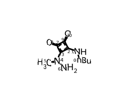 CCCCNc1c(N(C)N)c(=O)c1=O